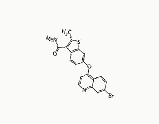 CNC(=O)c1c(C)sc2cc(Oc3ccnc4cc(Br)ccc34)ccc12